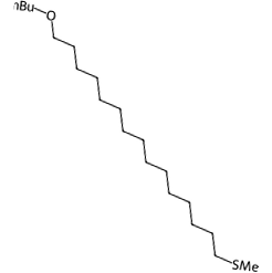 CCCCOCCCCCCCCCCCCCCCSC